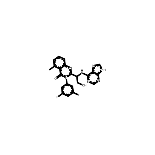 Cc1cccc2nc(C(CO)Nc3ncnc4[nH]cnc34)n(-c3cc(F)cc(F)c3)c(=O)c12